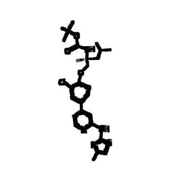 Cc1csc(Nc2cc(-c3ccc(OC[C@](C)(CC(C)C)NC(=O)OC(C)(C)C)c(Cl)c3)ccn2)n1